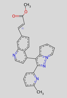 COC(=O)/C=C/c1ccc2c(-c3c(-c4cccc(C)n4)nn4ccccc34)ccnc2c1